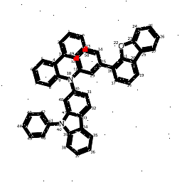 c1ccc(-c2ccccc2N(c2cccc(-c3cccc4c3oc3ccccc34)c2)c2ccc3c4ccccc4n(-c4ccccc4)c3c2)cc1